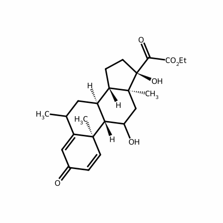 CCOC(=O)C(=O)[C@@]1(O)CC[C@H]2[C@@H]3CC(C)C4=CC(=O)C=C[C@]4(C)[C@H]3C(O)C[C@@]21C